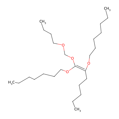 CCCCCCCOC(CCCCC)=C(OCCCCCCC)OCOCCCC